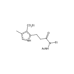 CCOC(=O)c1c(C)c[nH]c1CCC(=O)N(CC)NC(C)=O